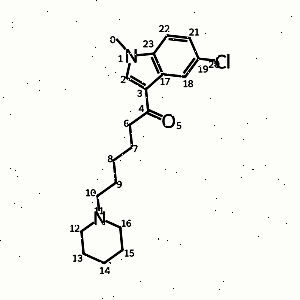 Cn1cc(C(=O)CCCCCN2CC[CH]CC2)c2cc(Cl)ccc21